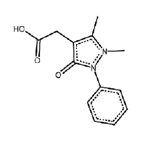 Cc1c(CC(=O)O)c(=O)n(-c2ccccc2)n1C